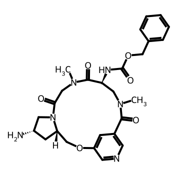 CN1C[C@H](NC(=O)OCc2ccccc2)C(=O)N(C)CC(=O)N2C[C@@H](N)C[C@H]2COc2cncc(c2)C1=O